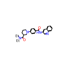 CCN(CC)C(=O)C1CCCN(c2ccc(C(=O)Nc3cnc4ccccc4c3)cc2)C1